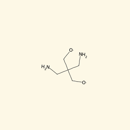 NCC(CN)(C[O])C[O]